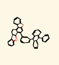 C1=CC2c3ccccc3OC2c2c(-c3cccc(-c4c5ccccc5c(-c5ccccc5)c5ccccc45)c3)cc3sc4ccccc4c3c21